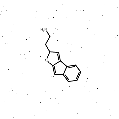 NCCC1C=C2C(=Cc3ccccc32)O1